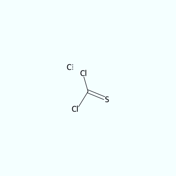 S=C(Cl)Cl.[C]